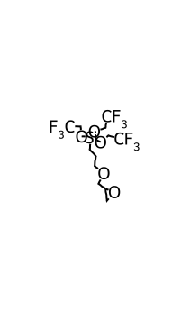 FC(F)(F)CO[Si](CCCOCC1CO1)(OCC(F)(F)F)OCC(F)(F)F